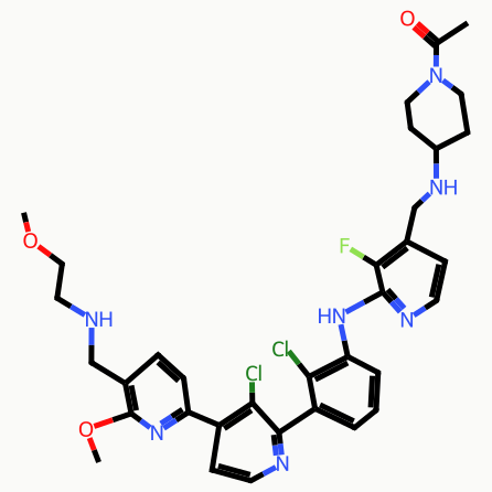 COCCNCc1ccc(-c2ccnc(-c3cccc(Nc4nccc(CNC5CCN(C(C)=O)CC5)c4F)c3Cl)c2Cl)nc1OC